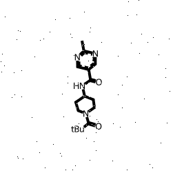 Cc1ncc(C(=O)NC2CCN(C(=O)C(C)(C)C)CC2)cn1